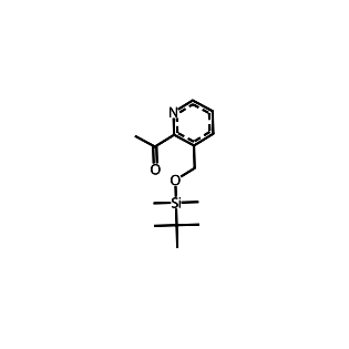 CC(=O)c1ncccc1CO[Si](C)(C)C(C)(C)C